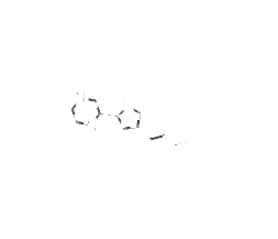 OC/C=C/c1csc(-c2cnccn2)c1